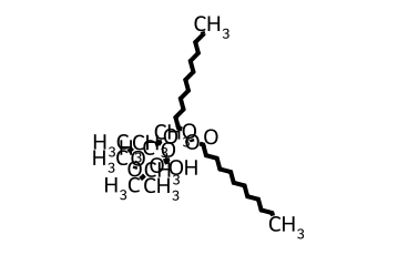 CC(C)(C)OOC(C)(C)C.CC(C)OC(=O)O.CCCCCCCCCCCC(=O)OOC(=O)CCCCCCCCCCC